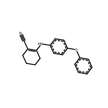 N#CC1=C(Nc2ccc(Oc3ccccc3)cc2)CCCC1